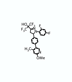 COc1cc(C)c(-c2ccc(C3CC(C(O)(C(F)(F)F)C(F)(F)F)=NN3c3ccc(F)cc3F)cc2)cn1